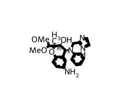 COC(OC)[C@]1(C)Oc2ccc(N)cc2[C@H](N(Cc2ncc[nH]2)c2ccccc2)[C@H]1O